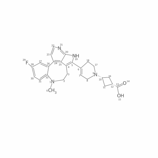 CN1CCc2c(C3=CCN([C@H]4C[C@@H](C(=O)O)C4)CC3)[nH]c3nccc(c23)-c2cc(F)ccc21